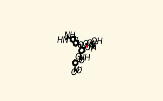 N=C(N)c1ccc2cc(Oc3ccc(NS(=O)(=O)c4cccc([N+](=O)[O-])c4)cc3C(=O)O)ccc2c1.O=C(O)C(F)(F)F